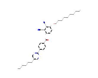 CCCCCCCCCCOc1ccc(OC(=O)c2ccc(-c3ncc(CCCCCC)cn3)cc2)c(C#N)c1C#N